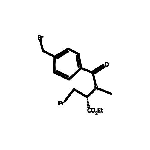 CCOC(=O)[C@H](CC(C)C)N(C)C(=O)c1ccc(CBr)cc1